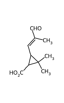 CC(C=O)=CC1C(C(=O)O)C1(C)C